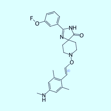 CNc1cc(C)c(/C=C/ON2CCC3(CC2)N=C(c2cccc(OF)c2)NC3=O)c(C)c1